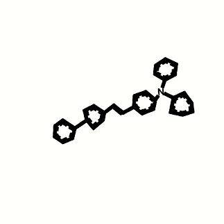 C(=C\c1ccc(N(c2ccccc2)c2ccccc2)cc1)/c1ccc(-c2ccccc2)cc1